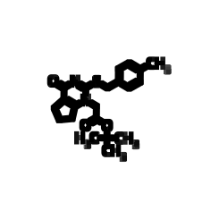 Cc1ccc(CSc2nc(=O)c3c(n2CC(=O)OC(C)(C)C)CCC3)cc1